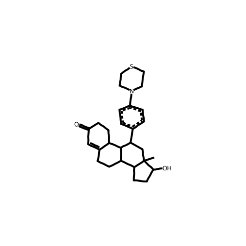 CC12CC(c3ccc(N4CCSCC4)cc3)C3C4CCC(=O)C=C4CCC3C1CCC2O